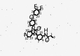 C=CC(=O)Nc1cccc(-n2c(=O)n(-c3ccc(Oc4ccc(F)c(F)c4)cc3)c3cnccc32)c1